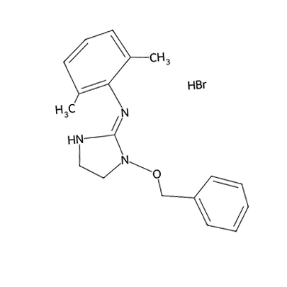 Br.Cc1cccc(C)c1/N=C1\NCCN1OCc1ccccc1